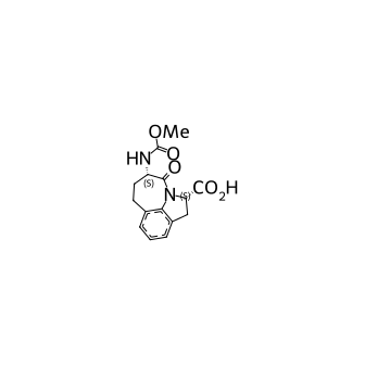 COC(=O)N[C@H]1CCc2cccc3c2N(C1=O)[C@H](C(=O)O)C3